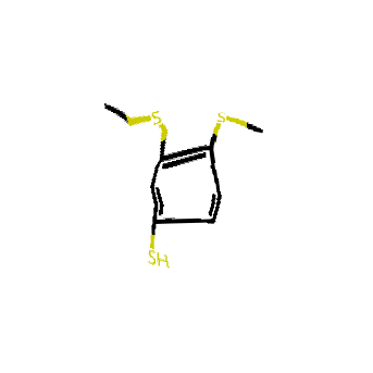 CSc1ccc(S)cc1SC